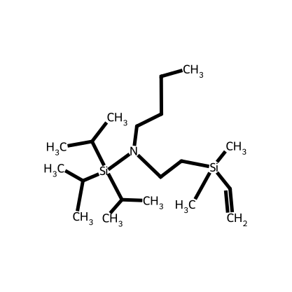 C=C[Si](C)(C)CCN(CCCC)[Si](C(C)C)(C(C)C)C(C)C